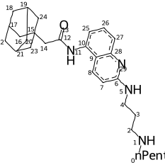 CCCCCNCCCNc1ccc2c(NC(=O)CC34CC5CC(CC(C5)C3)C4)cccc2n1